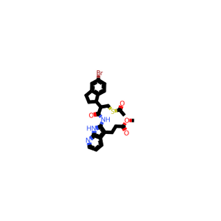 COC(=O)CCc1c(NC(=O)C(CSC(C)=O)C2CCc3cc(Br)ccc32)[nH]c2ncccc12